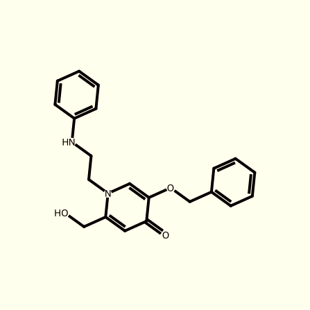 O=c1cc(CO)n(CCNc2ccccc2)cc1OCc1ccccc1